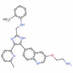 Cc1cccc(-c2nc(CNc3ccccc3C(=O)O)[nH]c2-c2ccc3ncc(OCCN)cc3c2)n1